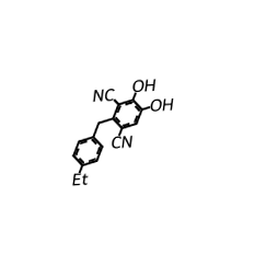 CCc1ccc(Cc2c(C#N)cc(O)c(O)c2C#N)cc1